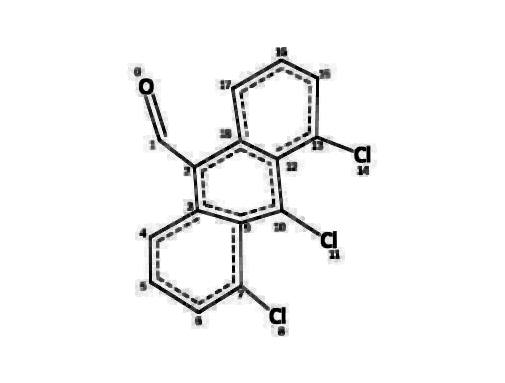 O=Cc1c2cccc(Cl)c2c(Cl)c2c(Cl)cccc12